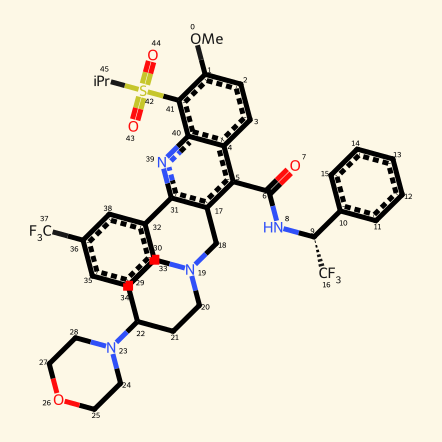 COc1ccc2c(C(=O)N[C@H](c3ccccc3)C(F)(F)F)c(CN3CCC(N4CCOCC4)CC3)c(-c3cccc(C(F)(F)F)c3)nc2c1S(=O)(=O)C(C)C